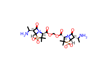 CC(N)[C@H]1C(=O)N2[C@@H](C(=O)OCOC(=O)[C@@H]3N4C(=O)[C@H](C(C)N)[C@H]4S(=O)(=O)C3(C)C)C(C)(C)S(=O)(=O)[C@H]12